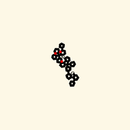 c1ccc(-c2ccc3c(c2)C(c2ccccc2)(c2ccccc2)c2ccccc2N3c2cccc3c2-c2ccccc2C3(c2ccccc2)c2ccc(-c3cccc4c3oc3cccc(-c5ccccc5)c34)cc2)cc1